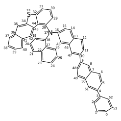 c1ccc(-c2ccc3cc(-c4ccc5ccc(N(c6cccc7ccccc67)c6cccc7sc8cc9ccccc9cc8c67)cc5c4)ccc3c2)cc1